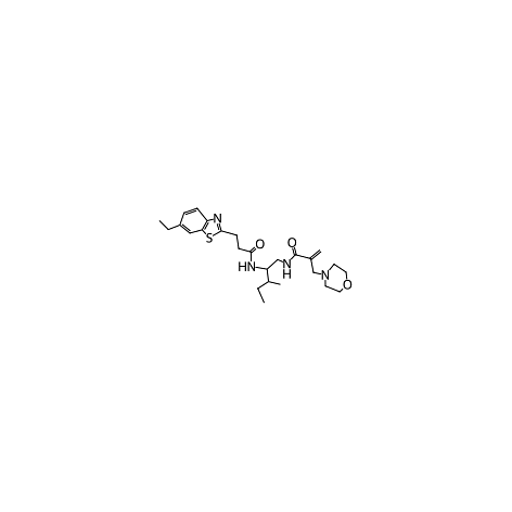 C=C(CN1CCOCC1)C(=O)NCC(NC(=O)CCc1nc2ccc(CC)cc2s1)C(C)CC